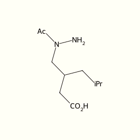 CC(=O)N(N)CC(CC(=O)O)CC(C)C